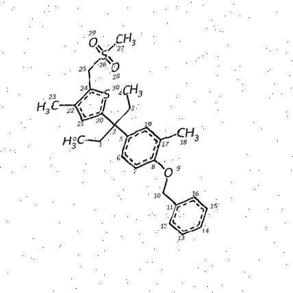 CCC(CC)(c1ccc(OCc2ccccc2)c(C)c1)c1cc(C)c(CS(C)(=O)=O)s1